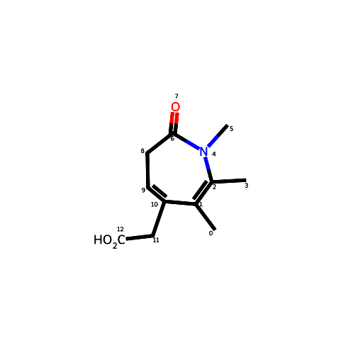 CC1=C(C)N(C)C(=O)CC=C1CC(=O)O